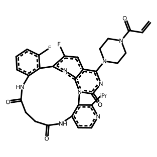 C=CC(=O)N1CCN(c2nc(=O)n3c4nc(c(F)cc24)-c2c(F)cccc2NC(=O)CCC(=O)Nc2ccnc(C(C)C)c2-3)CC1